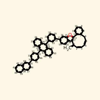 C=C1/C=C\C=C/Cc2ccccc2-c2oc3cc(-c4cccc(-c5c6ccccc6c(-c6ccc(-c7ccc8ccccc8c7)cc6)c6ccccc56)c4)ccc3c21